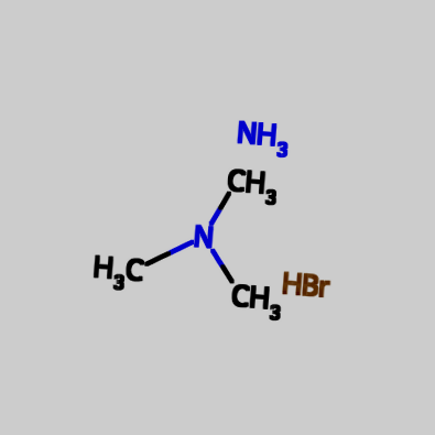 Br.CN(C)C.N